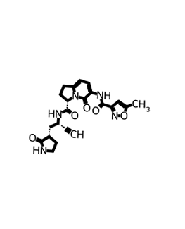 C#C[C@H](C[C@@H]1CCNC1=O)NC(=O)[C@@H]1CCc2ccc(NC(=O)c3cc(C)on3)c(=O)n21